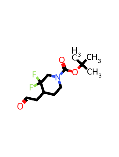 CC(C)(C)OC(=O)N1CCC(CC=O)C(F)(F)C1